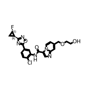 O=C(Nc1cc(-c2nc([C@H]3C[C@@H]3F)no2)ccc1Cl)c1cnc2cc(COCCO)ccn12